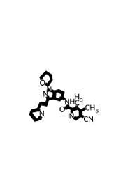 Cc1c(C#N)cnc(C(=O)Nc2ccc3c(c2)c(/C=C/c2ccccn2)nn3C2CCCCO2)c1C